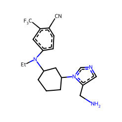 CCN(c1ccc(C#N)c(C(F)(F)F)c1)C1CCCC(n2cncc2CN)C1